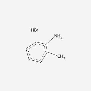 Br.Cc1ccccc1N